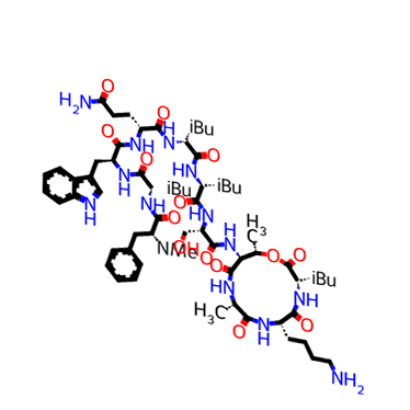 CC[C@H](C)[C@H](NC(=O)[C@@H](Cc1ccccc1)NC)C(=O)N[C@@H](Cc1c[nH]c2ccccc12)C(=O)N[C@H](CCC(N)=O)C(=O)N[C@@H](C(=O)N[C@H](C(=O)N[C@@H](CO)C(=O)N[C@H]1C(=O)N[C@@H](C)C(=O)N[C@@H](CCCCN)C(=O)N[C@@H]([C@@H](C)CC)C(=O)O[C@H]1C)[C@@H](C)CC)[C@@H](C)CC